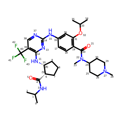 CC(C)NC(=O)[C@H]1CCC[C@H]1Nc1nc(Nc2ccc(C(=O)N(C)C3CCN(C)CC3)c(OC(C)C)c2)ncc1C(F)(F)F